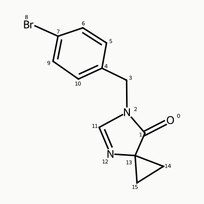 O=C1N(Cc2ccc(Br)cc2)C=NC12CC2